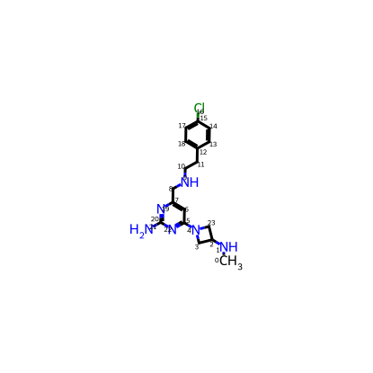 CNC1CN(c2cc(CNCCc3ccc(Cl)cc3)nc(N)n2)C1